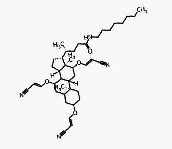 CCCCCCCCNC(=O)CC[C@@H](C)[C@H]1CC[C@H]2C3[C@H](OC=CC#N)CC4C[C@H](OC=CC#N)CC[C@]4(C)[C@H]3C[C@H](OC=CC#N)[C@]12C